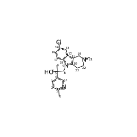 Cc1ccc(C(C)(O)Cn2c3c(c4cc(Cl)ccc42)CN(C)CC3)cn1